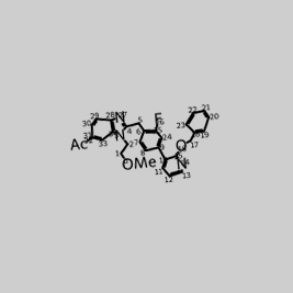 COCCn1c(Cc2ccc(-c3cccnc3OCc3ccccc3)cc2F)nc2ccc(C(C)=O)cc21